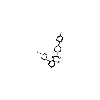 Cc1ccc(C2CCN(C(=O)Nc3c(Cl)cccc3N3CCN(C(C)C)CC3)CC2)cc1